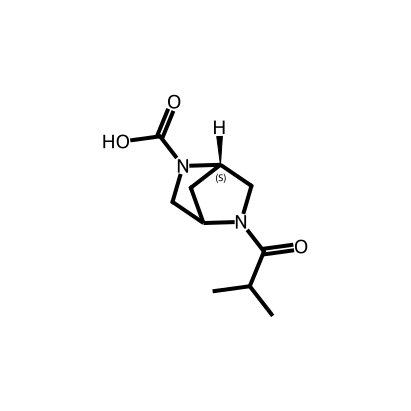 CC(C)C(=O)N1C[C@@H]2CC1CN2C(=O)O